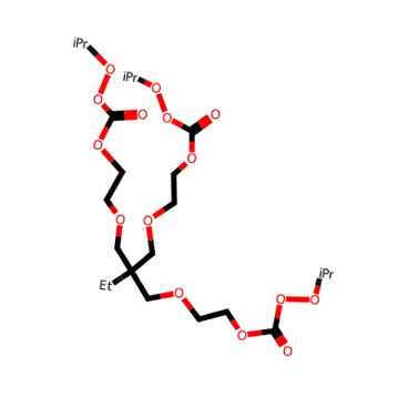 CCC(COCCOC(=O)OOC(C)C)(COCCOC(=O)OOC(C)C)COCCOC(=O)OOC(C)C